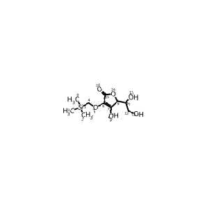 C[Si](C)(C)COC1=C(O)C(C(O)CO)OC1=O